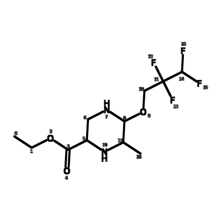 CCOC(=O)C1CNC(OCC(F)(F)C(F)F)C(C)N1